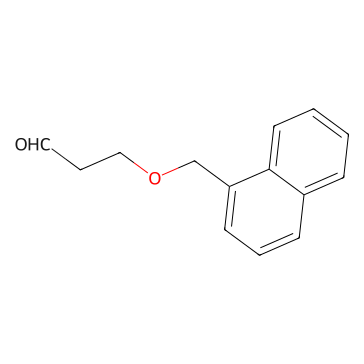 O=CCCOCc1cccc2ccccc12